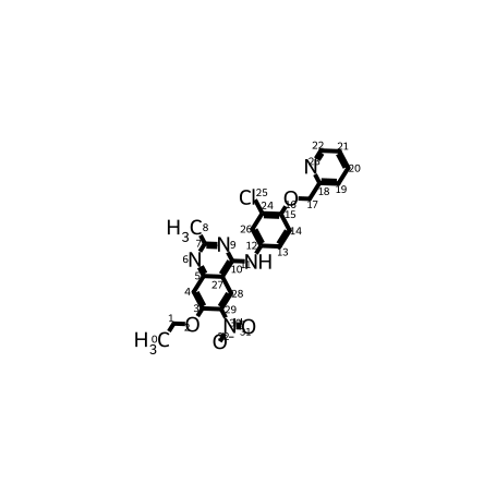 CCOc1cc2nc(C)nc(Nc3ccc(OCc4ccccn4)c(Cl)c3)c2cc1[N+](=O)[O-]